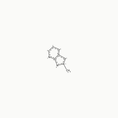 Cn1[c]c2cccnc2n1